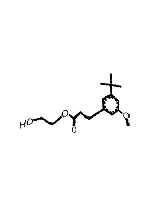 COc1cc(CCC(=O)OCCO)cc(C(C)(C)C)c1